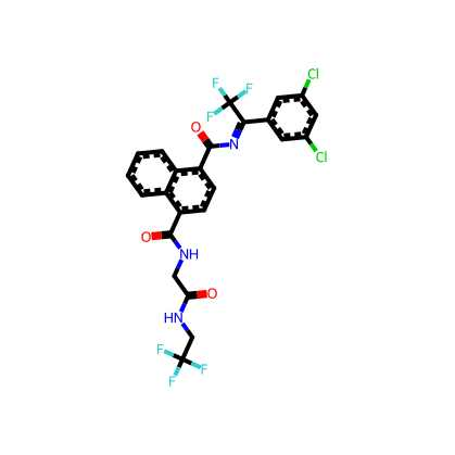 O=C(CNC(=O)c1ccc(C(=O)/N=C(/c2cc(Cl)cc(Cl)c2)C(F)(F)F)c2ccccc12)NCC(F)(F)F